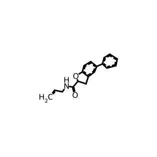 C=CCNC(=O)C1Cc2cc(-c3ccccc3)ccc2O1